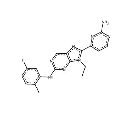 CCn1c(-c2ccnc(N)n2)nc2cnc(Nc3cc(F)ccc3C)nc21